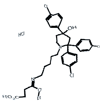 CCOC(=O)CCC(=NCCCCCN1CCC(O)(c2ccc(Cl)cc2)CC1(c1ccc(Cl)cc1)c1ccc(Cl)cc1)OCC.Cl